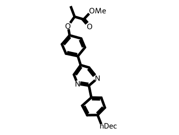 CCCCCCCCCCc1ccc(-c2ncc(-c3ccc(OC(C)C(=O)OC)cc3)cn2)cc1